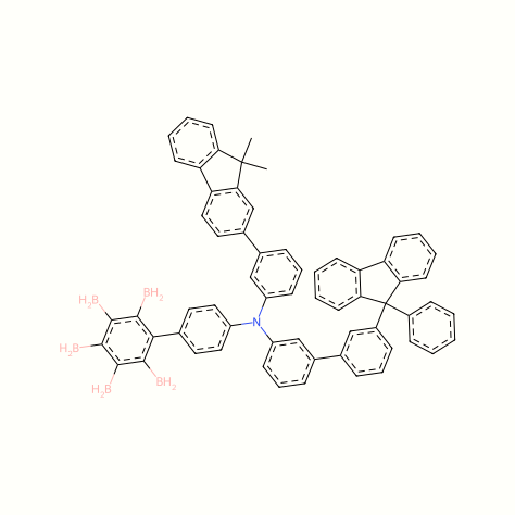 Bc1c(B)c(B)c(-c2ccc(N(c3cccc(-c4cccc(C5(c6ccccc6)c6ccccc6-c6ccccc65)c4)c3)c3cccc(-c4ccc5c(c4)C(C)(C)c4ccccc4-5)c3)cc2)c(B)c1B